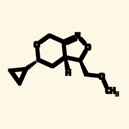 COC[C@@H]1ON=C2CO[C@@H](C3CC3)C[C@H]21